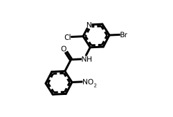 O=C(Nc1cc(Br)cnc1Cl)c1ccccc1[N+](=O)[O-]